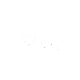 COc1ccc2c(Oc3ccc(NC(=O)NC4CC4)c(Cl)c3)ccnc2c1C(N)=O